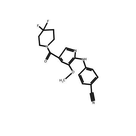 COc1cc(C(=O)N2CCC(F)(F)CC2)cnc1Nc1ccc(C#N)cc1